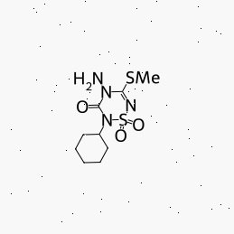 CSC1=NS(=O)(=O)N(C2CCCCC2)C(=O)N1N